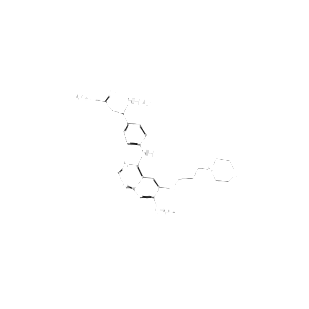 COC(=O)CC(NC(C)=O)c1ccc(Nc2ncnc3cc(OC)c(OCCCN4CCOCC4)cc23)cc1